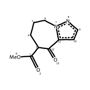 COC(=O)C1CCCn2nccc2C1=O